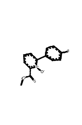 COC(=O)c1cccc(-c2ccc(F)cc2)[n+]1[O-]